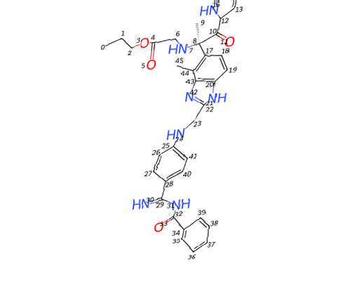 CCCOC(=O)CN[C@@](C)(C(=O)C1C=CCN1)c1ccc2[nH]c(CNc3ccc(C(=N)NC(=O)c4ccccc4)cc3)nc2c1C